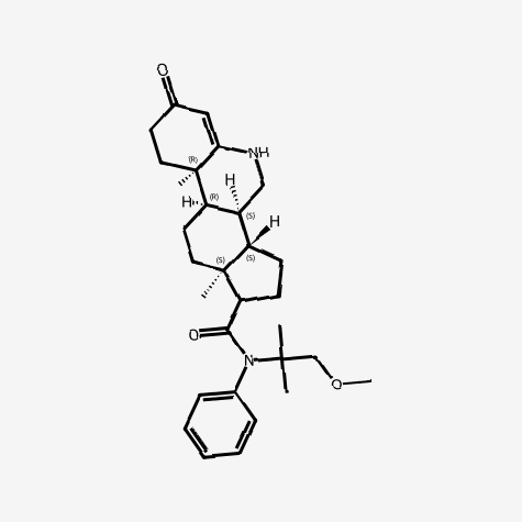 COCC(C)(C)N(C(=O)C1CC[C@H]2[C@@H]3CNC4=CC(=O)CC[C@]4(C)[C@@H]3CC[C@]12C)c1ccccc1